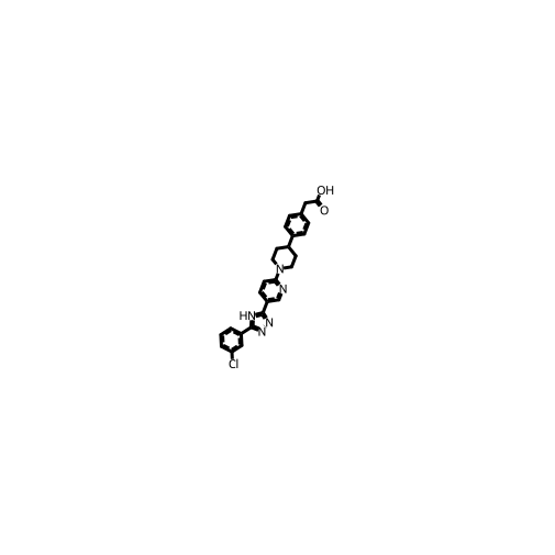 O=C(O)Cc1ccc(C2CCN(c3ccc(-c4nnc(-c5cccc(Cl)c5)[nH]4)cn3)CC2)cc1